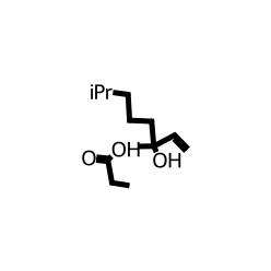 C=CC(C)(O)CCCC(C)C.CCC(=O)O